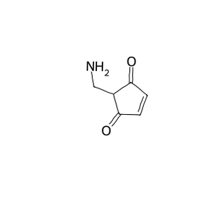 NCC1C(=O)C=CC1=O